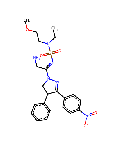 CCN(CCOC)S(=O)(=O)/N=C(\CN)N1CC(c2ccccc2)C(c2ccc([N+](=O)[O-])cc2)=N1